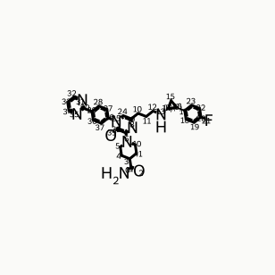 NC(=O)C1CCN(c2nc(CCCN[C@@H]3C[C@H]3c3ccc(F)cc3)cn(-c3ccc(-c4ncccn4)cc3)c2=O)CC1